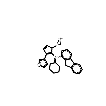 CC1C=CC(c2ccoc2)=[C]1[Zr+2](=[C]1CCCCC1)[c]1cccc2c1Cc1ccccc1-2.[Cl-].[Cl-]